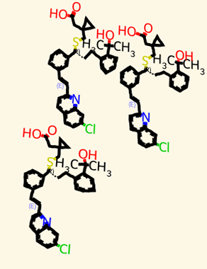 CC(C)(O)c1ccccc1CC[C@@H](SCC1(CC(=O)O)CC1)c1cccc(/C=C/c2ccc3ccc(Cl)cc3n2)c1.CC(C)(O)c1ccccc1CC[C@@H](SCC1(CC(=O)O)CC1)c1cccc(/C=C/c2ccc3ccc(Cl)cc3n2)c1.CC(C)(O)c1ccccc1CC[C@@H](SCC1(CC(=O)O)CC1)c1cccc(/C=C/c2ccc3ccc(Cl)cc3n2)c1